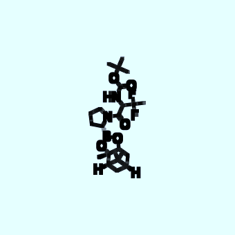 CC(C)(C)OC(=O)NC(C(=O)N1CCC[C@H]1B1OC2C[C@@H]3C[C@@H](C3(C)C)[C@]2(C)O1)C(C)(F)F